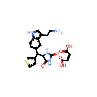 NCCc1c[nH]c2ccc(C(c3ccsc3)C3NC(=O)NC3=O)cc12.O=C(O)/C=C\C(=O)O